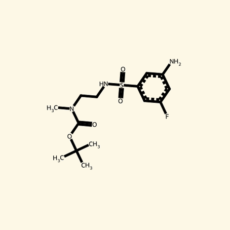 CN(CCNS(=O)(=O)c1cc(N)cc(F)c1)C(=O)OC(C)(C)C